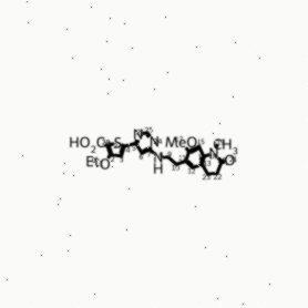 CCOc1cc(-c2cc(NCCc3cc4c(cc3OC)N(C)C(=O)CC4)ncn2)sc1C(=O)O